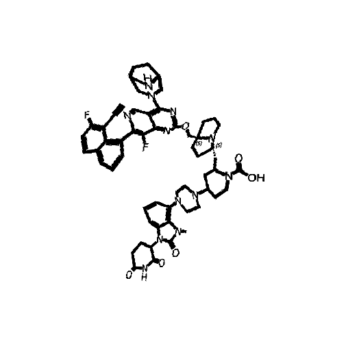 C#Cc1c(F)ccc2cccc(-c3ncc4c(N5CC6CCC(C5)N6)nc(OC[C@@]56CCCN5[C@H](CC5CC(N7CCN(c8cccc9c8n(C)c(=O)n9C8CCC(=O)NC8=O)CC7)CCN5C(=O)O)CC6)nc4c3F)c12